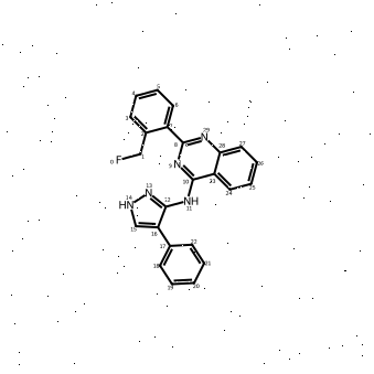 FCc1ccccc1-c1nc(Nc2n[nH]cc2-c2ccccc2)c2ccccc2n1